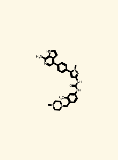 CN1CCN(Cc2ccc(NC(=O)Nc3cc(-c4ccc(-c5cnc(N)c6[nH]ccc56)cc4)n(C)n3)cc2C(F)(F)F)CC1